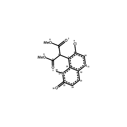 COC(=O)C(C(=O)OC)c1c(Cl)cnc2ccc(=O)n(C)c12